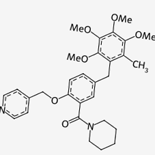 COc1c(C)c(Cc2ccc(OCc3ccncc3)c(C(=O)N3CCCCC3)c2)c(OC)c(OC)c1OC